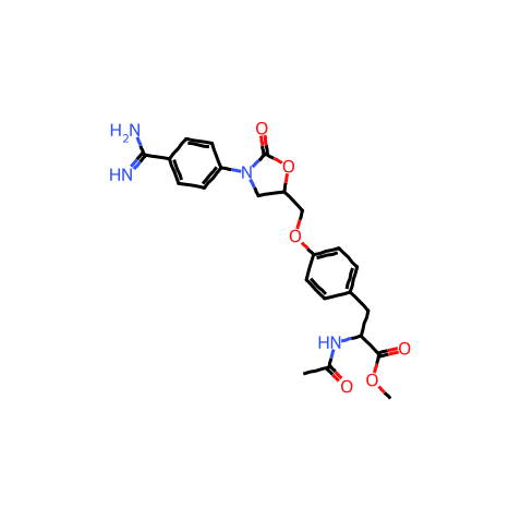 COC(=O)C(Cc1ccc(OCC2CN(c3ccc(C(=N)N)cc3)C(=O)O2)cc1)NC(C)=O